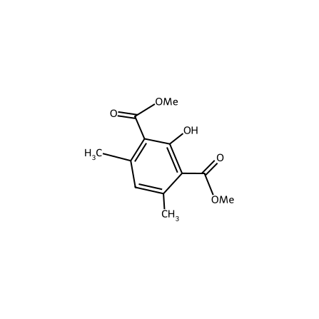 COC(=O)c1c(C)cc(C)c(C(=O)OC)c1O